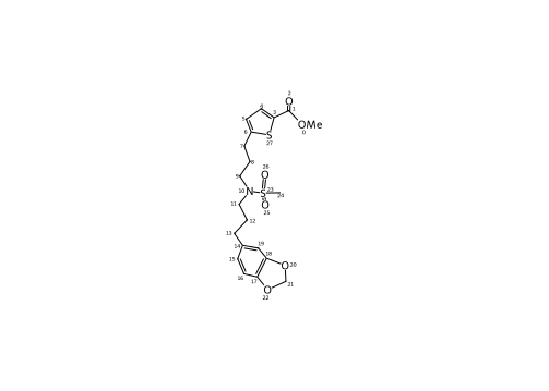 COC(=O)c1ccc(CCCN(CCCc2ccc3c(c2)OCO3)S(C)(=O)=O)s1